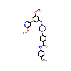 CCOc1cncc(-c2cc(CN3CCN(c4ccc(C(=O)Nc5ccc(OC)cc5)cc4)CC3)cc(OC(F)(F)F)c2)c1